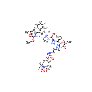 COC(=O)[C@H](CCCNC(=O)OC1CC(C)(C)N(O)C(C)(C)C1)NC(=O)[C@@H](NC(=O)[C@@H]1CCCN1C[C@H](/C=C/[C@H](CC(C)C)NC(=O)OC(C)(C)C)Cc1ccccc1)C(C)C